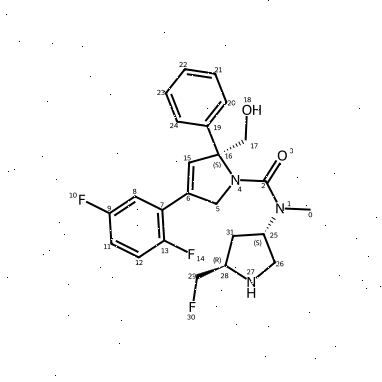 CN(C(=O)N1CC(c2cc(F)ccc2F)=C[C@@]1(CO)c1ccccc1)[C@@H]1CN[C@@H](CF)C1